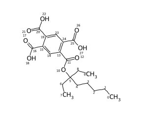 CCCCCC(CC)(CC)OC(=O)c1cc(C(=O)O)c(C(=O)O)cc1C(=O)O